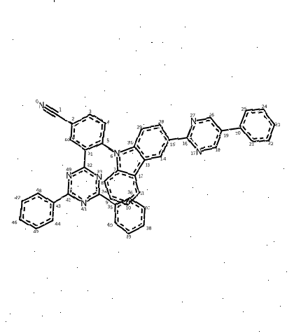 N#Cc1ccc(-n2c3ccccc3c3cc(-c4ncc(-c5ccccc5)cn4)ccc32)c(-c2nc(-c3ccccc3)nc(-c3ccccc3)n2)c1